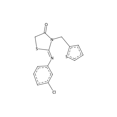 O=C1CS/C(=N\c2cccc(Cl)c2)N1Cc1cccs1